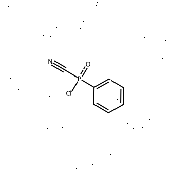 N#CP(=O)(Cl)c1ccccc1